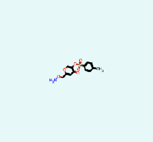 Cc1ccc(S(=O)(=O)Oc2coc(CON)cc2=O)cc1